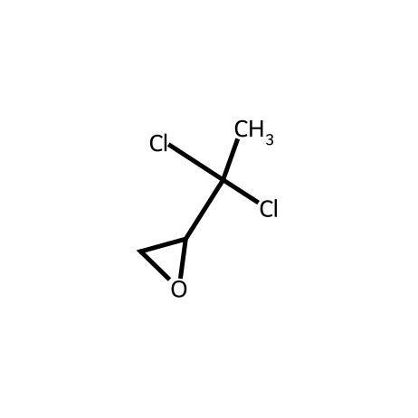 CC(Cl)(Cl)C1CO1